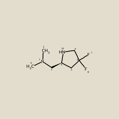 CN(C)C[C@@H]1CC(F)(F)CN1